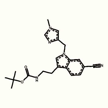 Cn1cnc(Cn2cc(CCNC(=O)OC(C)(C)C)c3ccc(C#N)cc32)c1